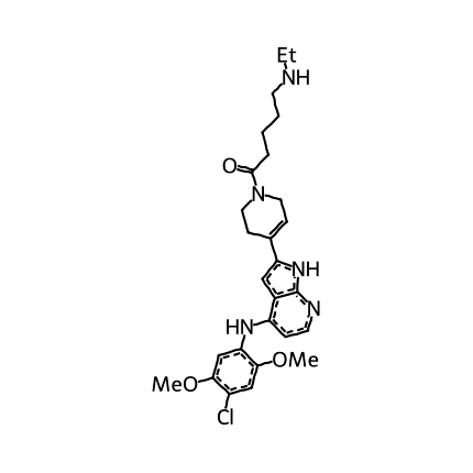 CCNCCCCC(=O)N1CC=C(c2cc3c(Nc4cc(OC)c(Cl)cc4OC)ccnc3[nH]2)CC1